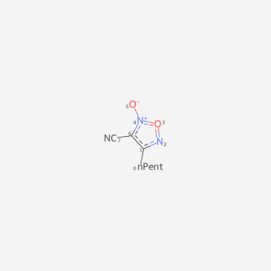 CCCCCc1no[n+]([O-])c1C#N